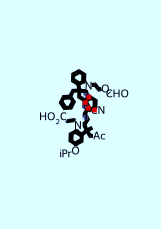 CC(=O)CC1(C)C(/C=C/C(C#N)=C/C=C2/N(CCOC=O)c3ccccc3C2(Cc2ccccc2)Cc2ccccc2)=[N+](CCC(=O)O)c2ccc(OC(C)C)cc21